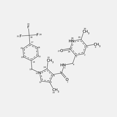 Cc1cc(CNC(=O)c2c(C)cn(Cc3ccc(C(F)(F)F)cc3)c2C)c(=O)[nH]c1C